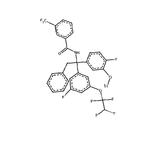 CCOc1cc(C(Cc2ccccc2)(NC(=O)c2cccc(C(F)(F)F)c2)c2cc(F)cc(OC(F)(F)C(F)F)c2)ccc1F